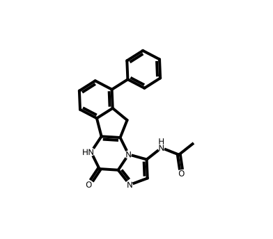 CC(=O)Nc1cnc2c(=O)[nH]c3c(n12)Cc1c(-c2ccccc2)cccc1-3